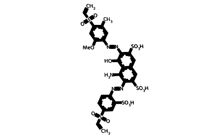 C=CS(=O)(=O)c1ccc(N=Nc2c(S(=O)(=O)O)cc3cc(S(=O)(=O)O)c(N=Nc4cc(C)c(S(=O)(=O)C=C)cc4OC)c(O)c3c2N)c(S(=O)(=O)O)c1